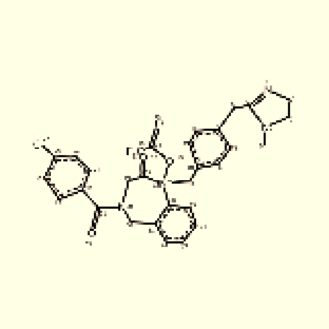 CN1CCN=C1Cc1ccc(C[N+]2(OC(=O)C(F)(F)F)C(=O)CN(C(=O)c3ccc(Cl)cc3)Cc3ccccc32)cc1